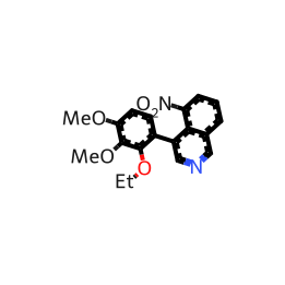 CCOc1c(-c2cncc3cccc([N+](=O)[O-])c23)ccc(OC)c1OC